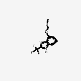 COCOc1cccc2[nH]c(C(F)(F)F)nc12